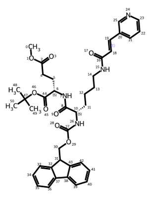 COC(=O)CC[C@H](NC(=O)[C@H](CCCCNC(=O)/C=C/c1cccnc1)NC(=O)OCC1c2ccccc2-c2ccccc21)C(=O)OC(C)(C)C